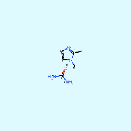 Cc1nccn1C.NC(N)=O